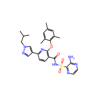 Cc1cc(C)c(Oc2nc(-c3cnn(CC(C)C)c3)ccc2C(=O)NS(=O)(=O)c2nccnc2N)c(C)c1